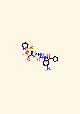 CN(C)c1ccc(NC(=O)Nc2nc(C(=O)O)c(S(=O)(=O)c3ccccn3)s2)c(C(=O)C2CCCC2)c1